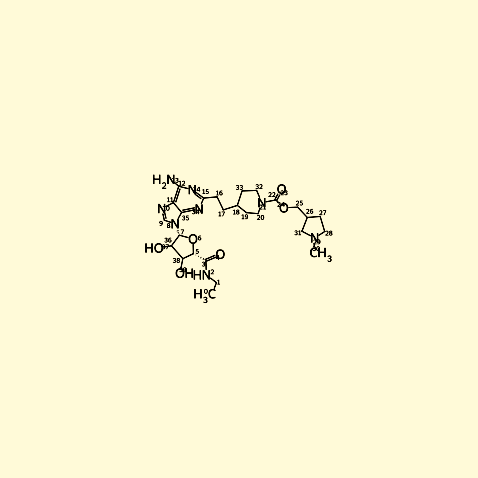 CCNC(=O)[C@H]1O[C@@H](n2cnc3c(N)nc(CCC4CCN(C(=O)OCC5CCN(C)C5)CC4)nc32)C(O)C1O